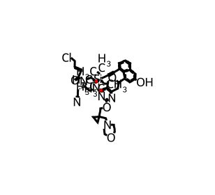 CC(C)[Si](C#Cc1cccc2cc(O)cc(C3Cc4nc(OCC5(CN6CCOCC6)CC5)nc(N5CCN(C(=O)/C=C/CCl)[C@@H](CC#N)C5)c4CO3)c12)(C(C)C)C(C)C